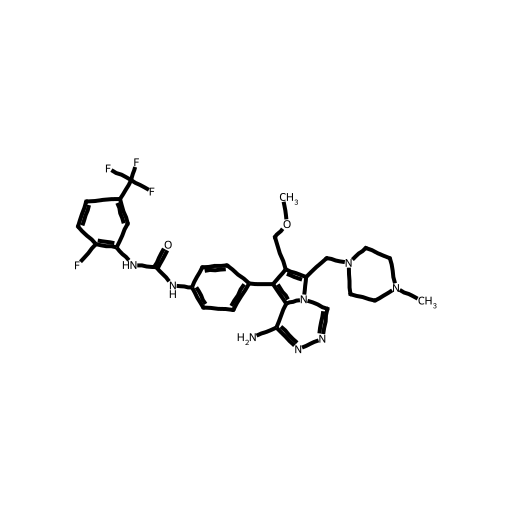 COCc1c(-c2ccc(NC(=O)Nc3cc(C(F)(F)F)ccc3F)cc2)c2c(N)nncn2c1CN1CCN(C)CC1